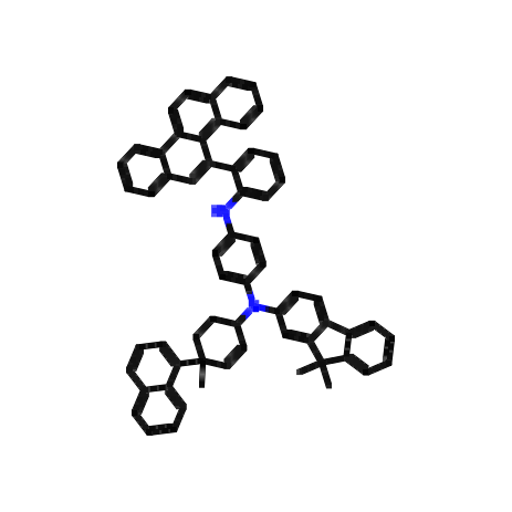 CC1(c2cccc3ccccc23)C=CC(N(c2ccc(Nc3ccccc3-c3cc4ccccc4c4ccc5ccccc5c34)cc2)c2ccc3c(c2)C(C)(C)c2ccccc2-3)CC1